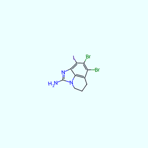 Nc1nc2c(I)c(Br)c(Br)c3c2n1CCC3